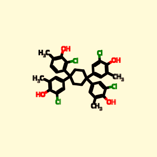 Cc1cc(C2(c3cc(C)c(O)c(Cl)c3)CCC(c3cc(C)c(O)c(Cl)c3)(c3ccc(C)c(O)c3Cl)CC2)cc(Cl)c1O